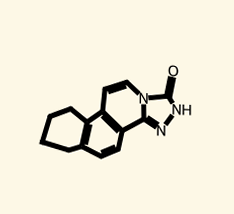 O=c1[nH]nc2c3ccc4c(c3ccn12)CCCC4